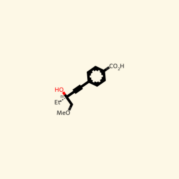 CC[C@](O)(C#Cc1ccc(C(=O)O)cc1)COC